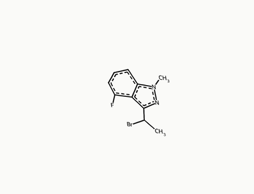 CC(Br)c1nn(C)c2cccc(F)c12